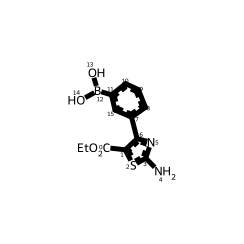 CCOC(=O)c1sc(N)nc1-c1cccc(B(O)O)c1